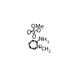 COS(=O)(=O)[O-].C[n+]1ccccc1N